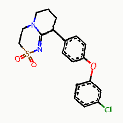 O=S1(=O)CCN2CCCC(c3ccc(Oc4cccc(Cl)c4)cc3)C2=N1